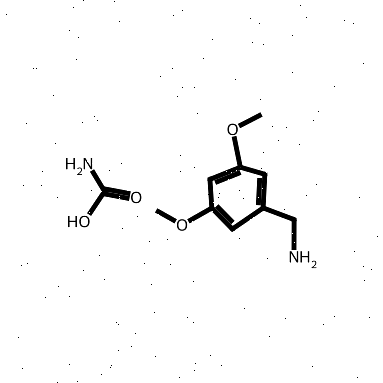 COc1cc(CN)cc(OC)c1.NC(=O)O